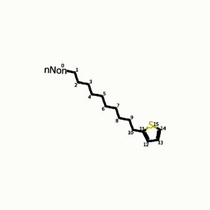 CCCCCCCCCCCCCCCCCCCc1cccs1